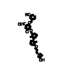 Cc1c(COc2cc(OCc3cncc(C#N)c3)c(C=O)cc2Cl)cccc1-c1cccc(OCCCN2CC[C@H](O)C2)c1C